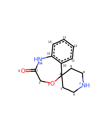 O=C1COC2(CCNCC2)c2ccccc2N1